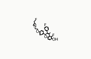 CC1=C(c2ccc(F)cc2)C(c2ccc(OCCN3CC(CF)C3)cc2)Oc2ccc(O)c(F)c21